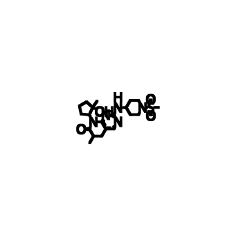 CC1Cc2cnc(NC3CCN(S(C)(=O)=O)CC3)nc2N(C2CCCC2(C)O)C1=O